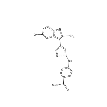 CNC(=O)c1ccc(Nc2ncc(-c3c(C)nc4ccc(Cl)cn34)s2)cc1